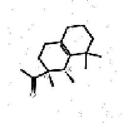 CC(=O)[C@]1(C)CCC2=C([C@H]1C)C(C)(C)CCC2